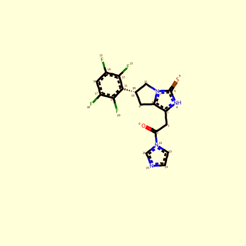 O=C(Cc1[nH]c(=S)n2c1C[C@H](c1c(F)c(F)cc(F)c1F)C2)n1ccnc1